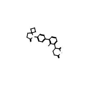 O=C1CCC(c2cccc(-c3ccc(N4C(=O)CCC45CCC5)cc3)c2Cl)C(=O)N1